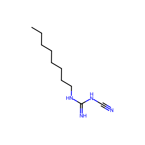 CCCCCCCCNC(=N)NC#N